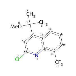 COC(C)(C)c1cc(Cl)nc2c(C(F)(F)F)cccc12